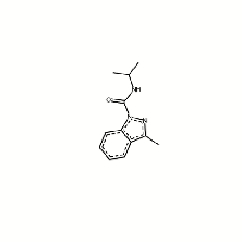 Cc1nn(C(=O)NC(C)C)c2ccccc12